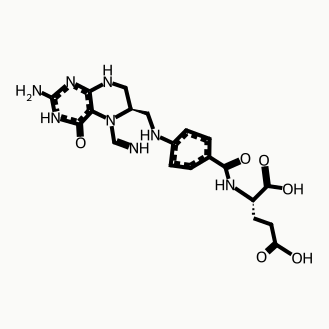 N=CN1c2c(nc(N)[nH]c2=O)NC[C@H]1CNc1ccc(C(=O)N[C@@H](CCC(=O)O)C(=O)O)cc1